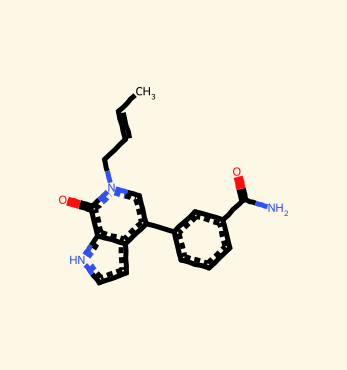 CC=CCn1cc(-c2cccc(C(N)=O)c2)c2cc[nH]c2c1=O